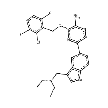 CCN(CC)Cc1c[nH]c2ccc(-c3cnc(N)c(OCc4c(F)ccc(F)c4Cl)n3)cc12